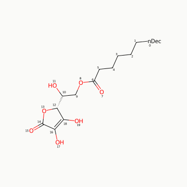 CCCCCCCCCCCCCCCC(=O)OCC(O)[C@H]1OC(=O)C(O)=C1O